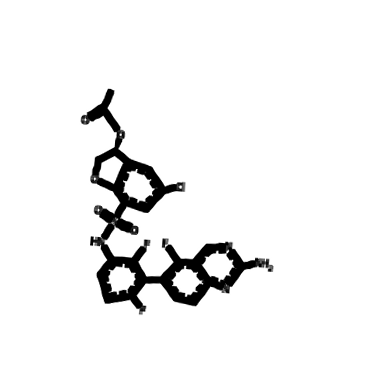 CC(=O)O[C@@H]1COc2c1cc(Cl)cc2S(=O)(=O)Nc1ccc(F)c(-c2ccc3nc(N)ncc3c2F)c1F